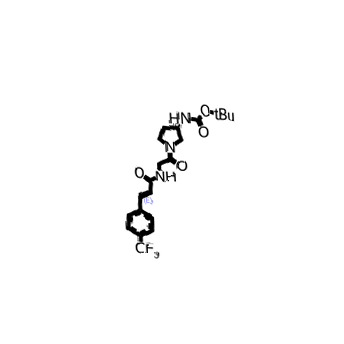 CC(C)(C)OC(=O)N[C@H]1CCN(C(=O)CNC(=O)/C=C/c2ccc(C(F)(F)F)cc2)C1